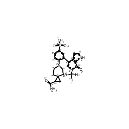 [2H]C([2H])([2H])n1cc(-c2cc(S(C)(=O)=O)ccc2N2CCC3(CC2)CC3C(N)=O)c2cc[nH]c2c1=O